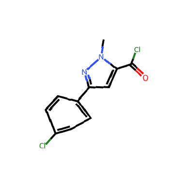 Cn1nc(-c2ccc(Cl)cc2)cc1C(=O)Cl